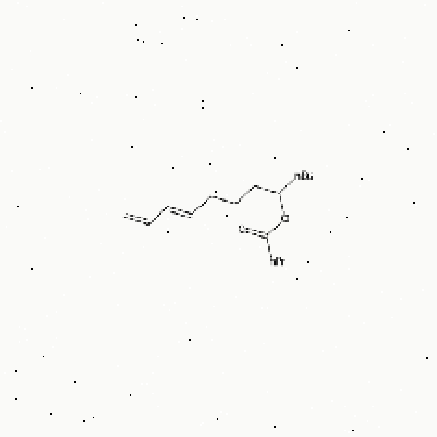 C=CC=CCCCC(CCCC)OC(=O)CCC